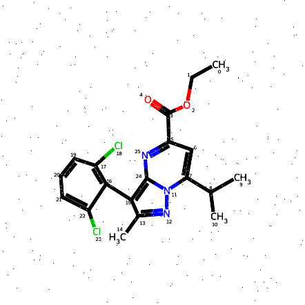 CCOC(=O)c1cc(C(C)C)n2nc(C)c(-c3c(Cl)cccc3Cl)c2n1